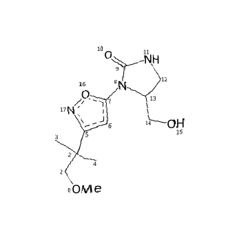 COCC(C)(C)c1cc(N2C(=O)NCC2CO)on1